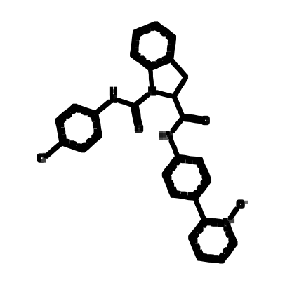 O=C(Nc1ccc(-c2cccc[n+]2[O-])cc1)C1Cc2ccccc2N1C(=O)Nc1ccc(Cl)cc1